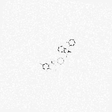 Cc1ncc(Cl)cc1C(=O)N[C@H]1CC[C@H](Cn2c(=O)n(-c3ccccc3C(F)(F)F)c3cccnc32)CC1